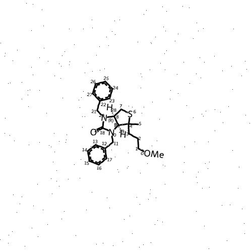 COCCCC1(C)SC[C@H]2[C@@H]1N(Cc1ccccc1)C(=O)N2Cc1ccccc1